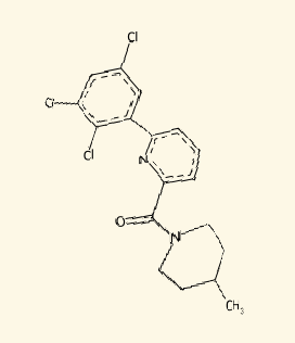 CC1CCN(C(=O)c2cccc(-c3cc(Cl)cc(Cl)c3Cl)n2)CC1